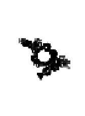 CO[C@@H](C)c1ncc(N2CCN(C3CC3)CC2)cc1-c1c2c3cc(ccc3n1CC(F)(F)F)C1=CCCN(C1)C[C@H](NC(=O)[C@H](C(C)C)N1CC[C@]3(CCNC3)C1)C(=O)N1CCC[C@H](N1)C(=O)OCC(C)(C)C2